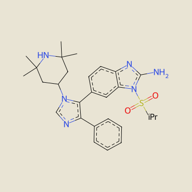 CC(C)S(=O)(=O)n1c(N)nc2ccc(-c3c(-c4ccccc4)ncn3C3CC(C)(C)NC(C)(C)C3)cc21